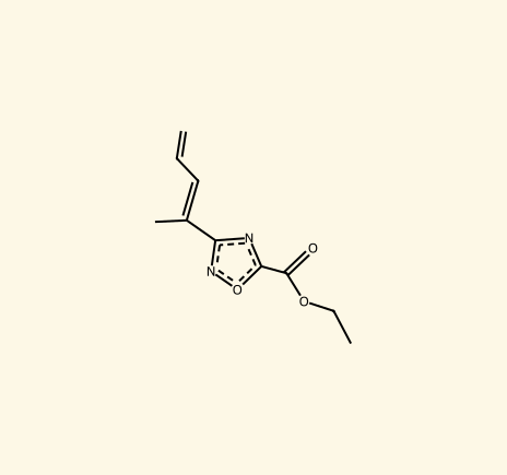 C=C/C=C(\C)c1noc(C(=O)OCC)n1